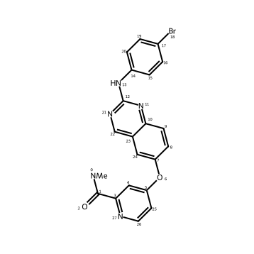 CNC(=O)c1cc(Oc2ccc3nc(Nc4ccc(Br)cc4)ncc3c2)ccn1